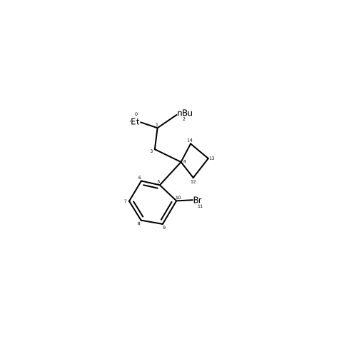 C[CH]C(CCCC)CC1(c2ccccc2Br)CCC1